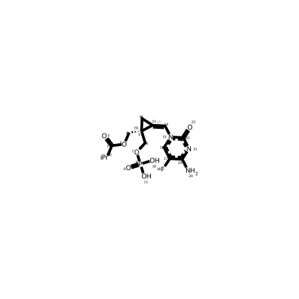 CC(C)C(=O)OC[C@]1(COP(=O)(O)O)C/C1=C/n1cc(F)c(N)nc1=O